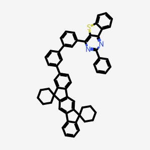 c1ccc(-c2nc(-c3cccc(-c4cccc(-c5ccc6c(c5)C5(CCCCC5)c5cc7c(cc5-6)C5(CCCCC5)c5ccccc5-7)c4)c3)c3sc4ccccc4c3n2)cc1